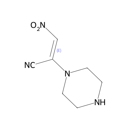 N#C/C(=C\[N+](=O)[O-])N1CCNCC1